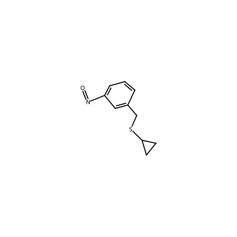 O=Nc1cccc(CSC2CC2)c1